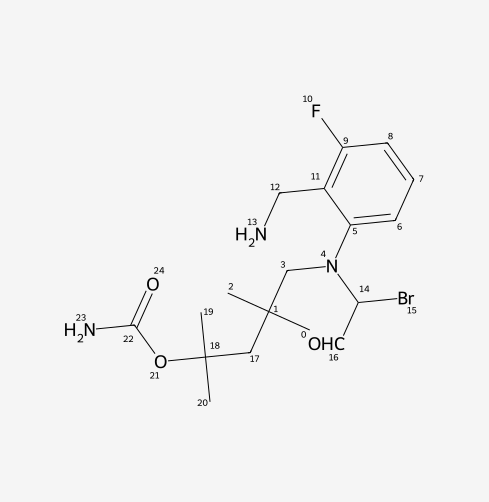 CC(C)(CN(c1cccc(F)c1CN)C(Br)C=O)CC(C)(C)OC(N)=O